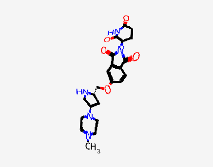 CN1CCN([C@H]2CN[C@H](COc3ccc4c(c3)C(=O)N(C3CCC(=O)NC3=O)C4=O)C2)CC1